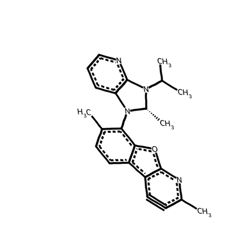 Cc1c#cc2c(n1)oc1c(N3c4cccnc4N(C(C)C)[C@@H]3C)c(C)ccc12